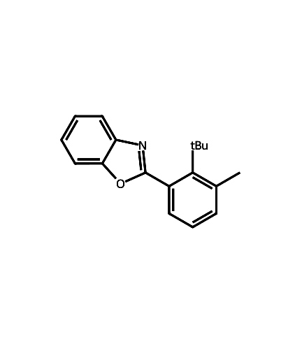 Cc1cccc(-c2nc3ccccc3o2)c1C(C)(C)C